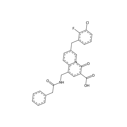 O=C(Cc1ccccc1)NCc1cc(C(=O)O)c(=O)n2cc(Cc3cccc(Cl)c3F)ccc12